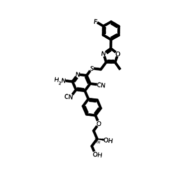 [C-]#[N+]c1c(N)nc(SCc2nc(-c3cccc(F)c3)oc2C)c(C#N)c1-c1ccc(OC[C@@H](O)CO)cc1